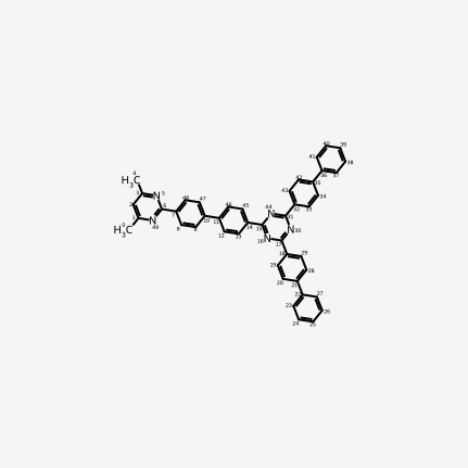 Cc1cc(C)nc(-c2ccc(-c3ccc(-c4nc(-c5ccc(-c6ccccc6)cc5)nc(-c5ccc(-c6ccccc6)cc5)n4)cc3)cc2)n1